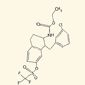 CCOC(=O)NC1CCc2ccc(OS(=O)(=O)C(F)(F)F)cc2C1Cc1cccc(Cl)c1